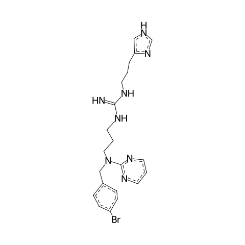 N=C(NCCCc1c[nH]cn1)NCCCN(Cc1ccc(Br)cc1)c1ncccn1